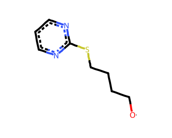 [O]CCCCSc1ncccn1